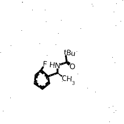 C[C@H](NC(=O)C(C)(C)C)c1ccccc1F